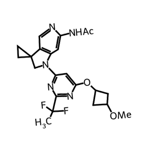 COC1CC(Oc2cc(N3CC4(CC4)c4cnc(NC(C)=O)cc43)nc(C(C)(F)F)n2)C1